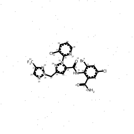 NC(=O)c1cc(Cl)cc(Br)c1NC(=O)c1cc(Cn2ncc(C(F)(F)F)n2)nn1-c1ncccc1Cl